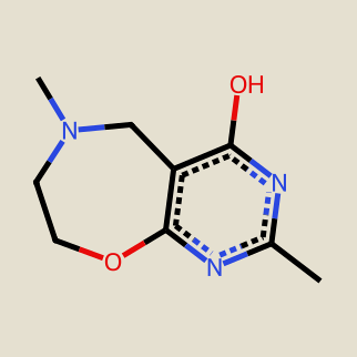 Cc1nc(O)c2c(n1)OCCN(C)C2